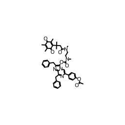 CC(=O)Oc1ccc(-c2cn3c(OC(=O)N(C)CCN(C)C(=O)CC(C)(C)C4=C(C)C(=O)C(C)=C(C)C4=O)c(Cc4ccccc4)nc3c(Cc3ccccc3)n2)cc1